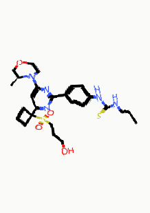 CCCNC(=S)Nc1ccc(-c2nc(N3CCOC[C@@H]3C)cc(C3(S(=O)(=O)CCCO)CCC3)n2)cc1